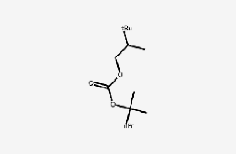 CCCC(C)(C)OC(=O)OCC(C)C(C)(C)C